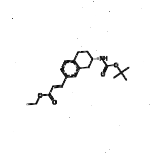 CCOC(=O)C=Cc1ccc2c(c1)C[C@@H](NC(=O)OC(C)(C)C)CC2